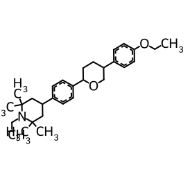 CCOc1ccc(C2CCC(c3ccc(C4CC(C)(C)N(CC)C(C)(C)C4)cc3)OC2)cc1